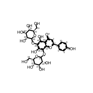 O=c1cc(-c2ccc(O)cc2)oc2c(OC3O[C@H](CO)[C@@H](O)[C@H](O)[C@H]3O)c(O)c(OC3O[C@H](CO)[C@@H](O)[C@H](O)[C@H]3O)c(O)c12